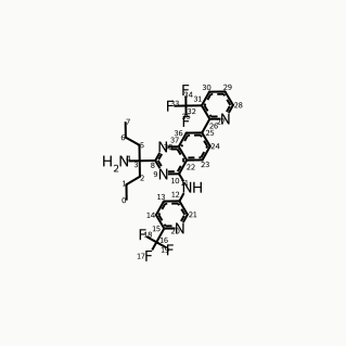 CCCC(N)(CCC)c1nc(Nc2ccc(C(F)(F)F)nc2)c2ccc(-c3ncccc3C(F)(F)F)cc2n1